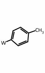 Cc1cc[c]([W])cc1